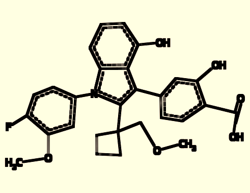 COCC1(c2c(-c3ccc(C(=O)O)c(O)c3)c3c(O)cccc3n2-c2ccc(F)c(OC)c2)CCC1